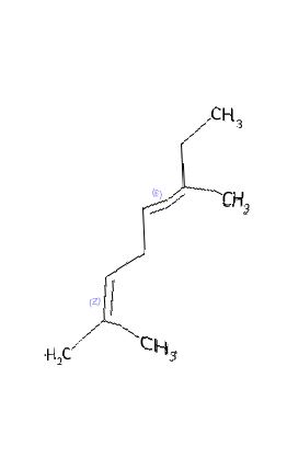 [CH2]/C(C)=C/C/C=C(\C)CC